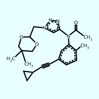 CC(=O)N(c1cn(CC2OCC(C)(C)CO2)nn1)c1cc(C#CC2CC2)ccc1C